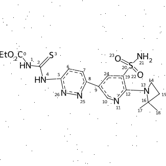 CCOC(=O)NC(=S)Nc1ccc(-c2cnc(N3CCC3(C)C)c(S(N)(=O)=O)c2)nn1